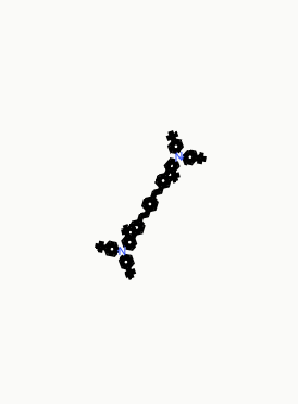 CC(C)(C)c1ccc(N(c2ccc(C(C)(C)C)cc2)c2ccc3c(c2)C(C)(C)c2cc(/C=C/c4ccc(/C=C/c5ccc6c(c5)C(C)(C)c5cc(N(c7ccc(C(C)(C)C)cc7)c7ccc(C(C)(C)C)cc7)ccc5-6)cc4)ccc2-3)cc1